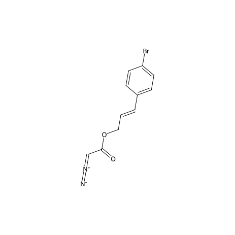 [N-]=[N+]=CC(=O)OCC=Cc1ccc(Br)cc1